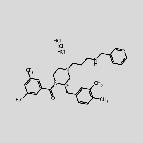 Cc1ccc(C[C@@H]2CN(CCCNCc3cccnc3)CCN2C(=O)c2cc(C(F)(F)F)cc(C(F)(F)F)c2)cc1C.Cl.Cl.Cl